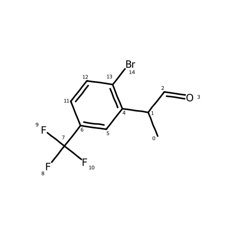 CC(C=O)c1cc(C(F)(F)F)ccc1Br